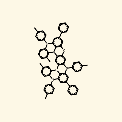 Cc1ccc(N2c3cccc(C)c3B3c4cc5c(cc4Oc4cc(-c6ccccc6)cc2c43)N(c2ccc(C)cc2)c2cc(-c3ccccc3)cc3c2B5c2cc(C)ccc2N3c2ccc(C)cc2)cc1